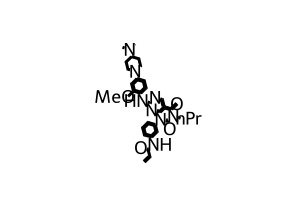 C=CC(=O)Nc1cccc(-n2c(=O)n(CCC)c(=O)c3cnc(Nc4ccc(N5CCC(N(C)C)CC5)cc4OC)nc32)c1